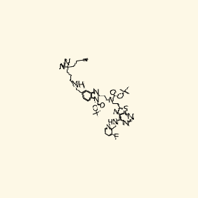 C#CCCC1(CCCNCc2ccc3c(c2)nc(CCN(CCc2nc4c(NCc5ncccc5F)ncnc4s2)C(=O)OC(C)(C)C)n3C(=O)OC(C)(C)C)N=N1